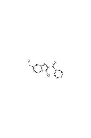 O=C(c1ccccc1)c1nc2cc(CCl)ccn2c1Cl